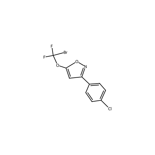 FC(F)(Br)Oc1cc(-c2ccc(Cl)cc2)no1